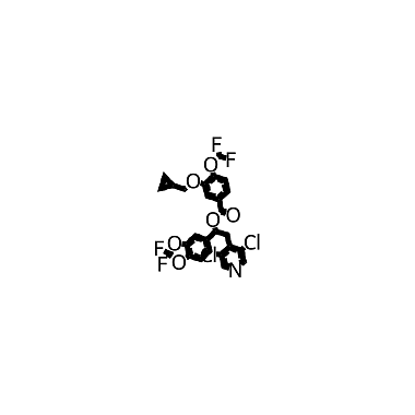 O=C(OC(Cc1c(Cl)cncc1Cl)c1ccc2c(c1)OC(F)(F)O2)c1ccc(OC(F)F)c(OCC2CC2)c1